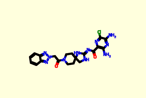 Nc1nc(N)c(C(=O)/N=C2\NCC3(CCN(C(=O)Cn4nc5ccccc5n4)CC3)N2)nc1Cl